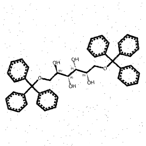 O[C@@H]([C@H](O)[C@@H](O)COC(c1ccccc1)(c1ccccc1)c1ccccc1)[C@H](O)COC(c1ccccc1)(c1ccccc1)c1ccccc1